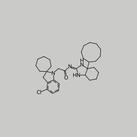 O=C(CN1c2cccc(Cl)c2CC12CCCCCC2)/N=C1\NC2CCCCC2(C2CCCCCCCC2)N1